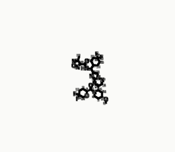 CO[C@@H]1CCN(C(=O)[C@@H]2CCC(F)(F)CO2)[C@@H](c2cnn3cc([C@@H](NC(=O)c4nonc4C)C4CCC(F)(F)CC4)nc3n2)C1